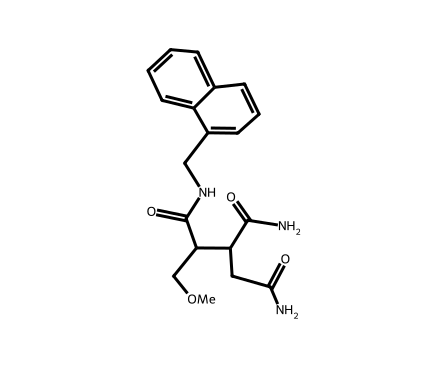 COCC(C(=O)NCc1cccc2ccccc12)C(CC(N)=O)C(N)=O